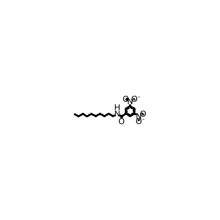 CCCCCCCCCCNC(=O)c1cc([N+](=O)[O-])cc([N+](=O)[O-])c1